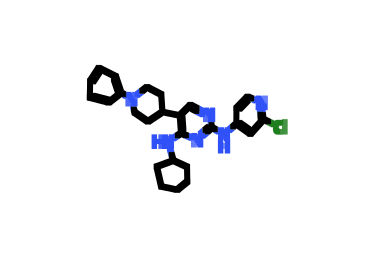 Clc1cc(Nc2ncc(C3CCN(c4ccccc4)CC3)c(NC3CCCCC3)n2)ccn1